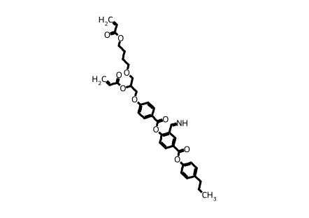 C=CC(=O)OCCCCOCC(COc1ccc(C(=O)Oc2ccc(C(=O)Oc3ccc(CCC)cc3)cc2C=N)cc1)OC(=O)C=C